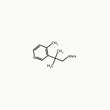 CCCCCCCC(C)(C)c1cnccc1C